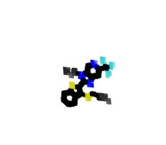 CCSc1c(-c2nc3cc(C(F)(F)F)ncc3n2C)sc2ccccc12